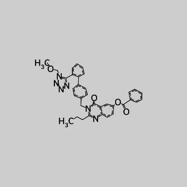 CCCc1nc2ccc(OC(=O)c3ccccc3)cc2c(=O)n1Cc1ccc(-c2ccccc2-c2nnnn2COC)cc1